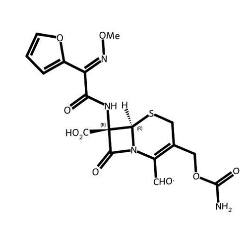 CON=C(C(=O)N[C@@]1(C(=O)O)C(=O)N2C([C]=O)=C(COC(N)=O)CS[C@@H]21)c1ccco1